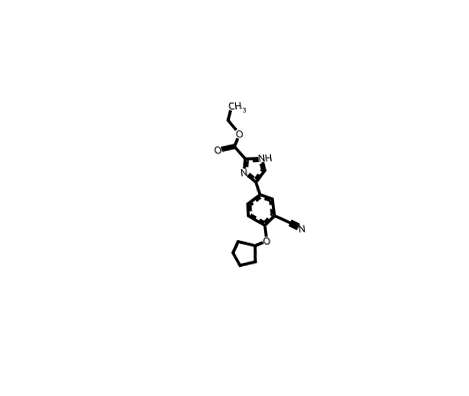 CCOC(=O)c1nc(-c2ccc(OC3CCCC3)c(C#N)c2)c[nH]1